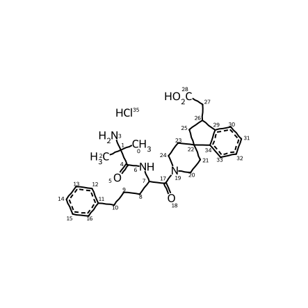 CC(C)(N)C(=O)NC(CCCc1ccccc1)C(=O)N1CCC2(CC1)CC(CC(=O)O)c1ccccc12.Cl